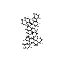 c1ccc2c(N(c3ccc4ccc5c(N(c6cccc7ccccc67)c6cccc7c6oc6ccccc67)ccc6ccc3c4c65)c3cccc4c3oc3ccccc34)cccc2c1